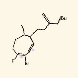 C=C(CCC1/C=C\C(Br)=C(\F)CCC1C)CC(C)CC